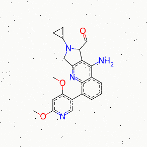 COc1cc(OC)c(-c2cccc3c(N)c4c(nc23)CN(C2CC2)C4C=O)cn1